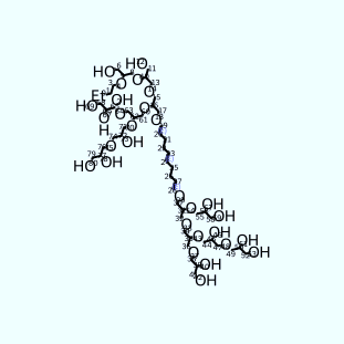 CCC(O)COC(CO)COC(CO)COCC(CO/C=C/CC/C=C/CC/C=C/OCC(COCC(COCC(O)CO)OCC(O)COCC(O)CO)OCC(O)CO)OCC(COCC(O)CO)OCC(O)COCC(O)CO